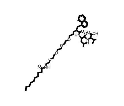 CCCCCCCCCC(=O)NCCOCCOCCOCCOCCCC(Cc1cccc2ccccc12)C(=O)NC(CC(C)C)C(=O)NC(C(=O)O)C(C)C